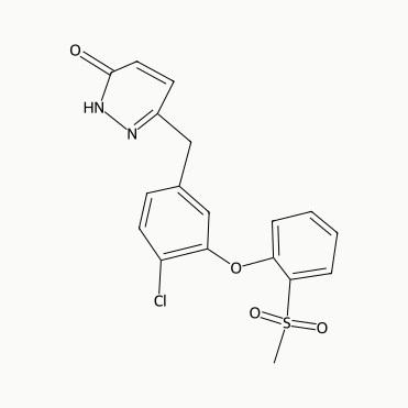 CS(=O)(=O)c1ccccc1Oc1cc(Cc2ccc(=O)[nH]n2)ccc1Cl